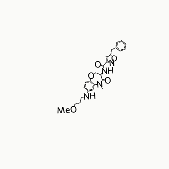 COCCCNc1ccc2c(c1)N(C)C(=O)C(NC(=O)c1cc(Cc3ccccc3)on1)CO2